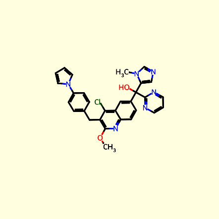 COc1nc2ccc(C(O)(c3ncccn3)c3cncn3C)cc2c(Cl)c1Cc1ccc(-n2cccc2)cc1